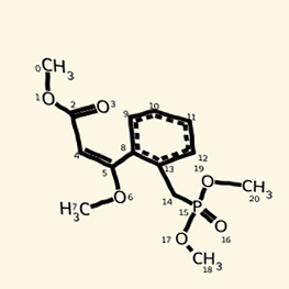 COC(=O)/C=C(/OC)c1ccccc1CP(=O)(OC)OC